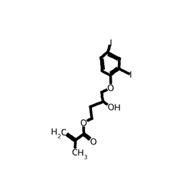 C=C(C)C(=O)OCCC(O)COc1ccc(I)cc1I